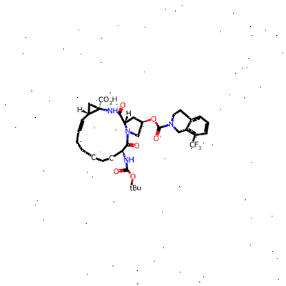 CC(C)(C)OC(=O)N[C@H]1CCCCCC=C[C@@H]2C[C@@]2(C(=O)O)NC(=O)[C@@H]2C[C@@H](OC(=O)N3CCc4cccc(C(F)(F)F)c4C3)CN2C1=O